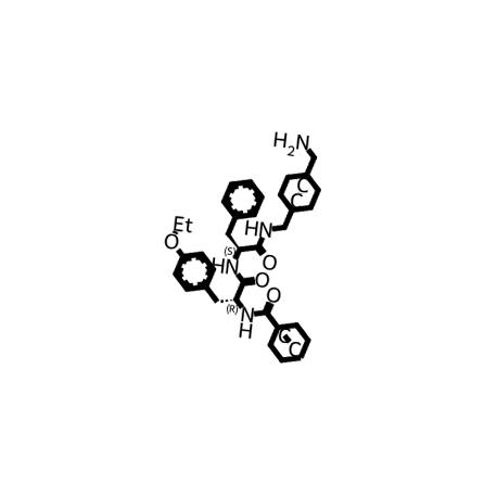 CCOc1ccc(C[C@@H](NC(=O)C23CCC(CC2)CC3)C(=O)N[C@@H](Cc2ccccc2)C(=O)NCC23CCC(CN)(CC2)CC3)cc1